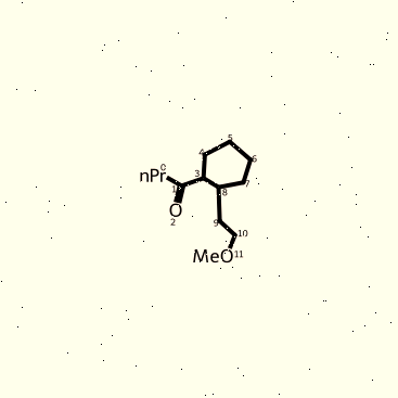 CCCC(=O)C1CCCCC1CCOC